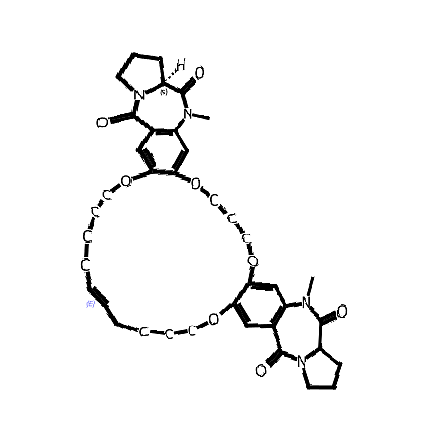 CN1C(=O)C2CCCN2C(=O)c2cc3c(cc21)OCCCOc1cc2c(cc1OCCCC/C=C/CCCCO3)C(=O)N1CCC[C@H]1C(=O)N2C